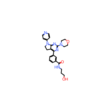 O=C(NCCCO)c1cccc(-c2nc(N3CCOCC3)nc3c2CCN3c2ccncc2)c1